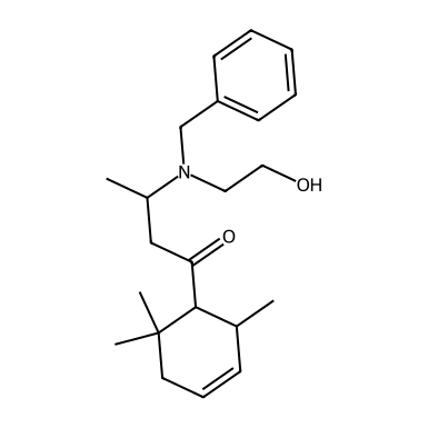 CC1C=CCC(C)(C)C1C(=O)CC(C)N(CCO)Cc1ccccc1